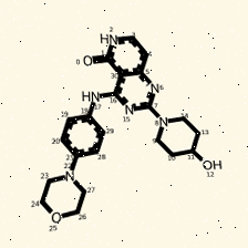 O=c1[nH]ccc2nc(N3CCC(O)CC3)nc(Nc3ccc(N4CCOCC4)cc3)c12